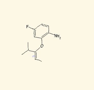 C/C=C(\Oc1cc(F)ccc1N)C(C)C